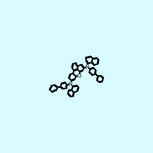 C1=CC2c3cccc4cc(N(c5ccc(-c6ccccc6)cc5)c5cccc6ccccc56)cc(c34)OC2C=C1N(c1ccc(-c2ccccc2)cc1)c1cccc2ccccc12